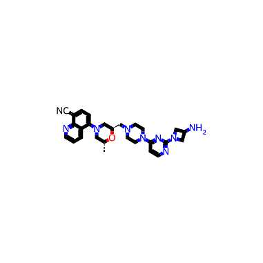 C[C@@H]1CN(c2ccc(C#N)c3ncccc23)C[C@H](CN2CCN(c3ccnc(N4CC(N)C4)n3)CC2)O1